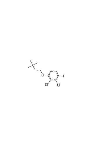 CC(C)(C)CCOc1ccc(F)c(Cl)c1Cl